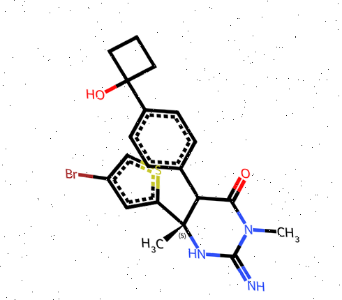 CN1C(=N)N[C@](C)(c2cc(Br)cs2)C(c2ccc(C3(O)CCC3)cc2)C1=O